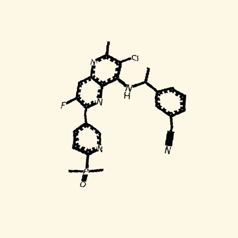 Cc1nc2cc(F)c(-c3ccc(P(C)(C)=O)nc3)nc2c(NC(C)c2cccc(C#N)c2)c1Cl